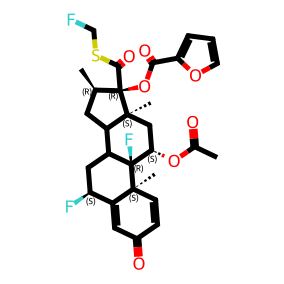 CC(=O)O[C@H]1C[C@@]2(C)C(C[C@@H](C)[C@]2(OC(=O)c2ccco2)C(=O)SCF)C2C[C@H](F)C3=CC(=O)C=C[C@]3(C)[C@]21F